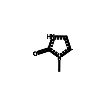 Cn1[c]c[nH]c1=O